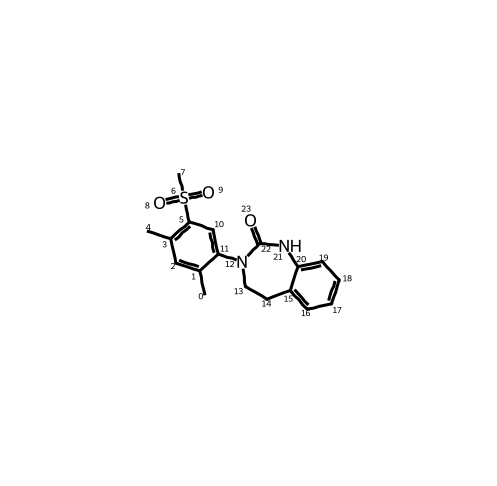 Cc1cc(C)c(S(C)(=O)=O)cc1N1CCc2ccccc2NC1=O